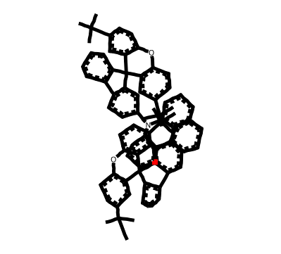 CC(C)(C)c1ccc2c(c1)C1(c3cc(C(C)(C)C)ccc3O2)c2ccccc2-c2ccc(-c3ccccc3N(c3ccc4c(c3)C3(c5cc(C(C)(C)C)ccc5Oc5ccc(C(C)(C)C)cc53)c3ccccc3-4)c3ccccc3-c3ccccc3)cc21